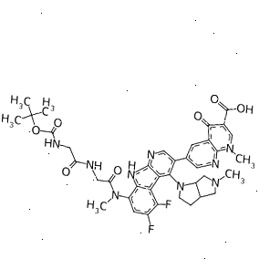 CN1CC2CCN(c3c(-c4cnc5c(c4)c(=O)c(C(=O)O)cn5C)cnc4[nH]c5c(N(C)C(=O)CNC(=O)CNC(=O)OC(C)(C)C)cc(F)c(F)c5c34)C2C1